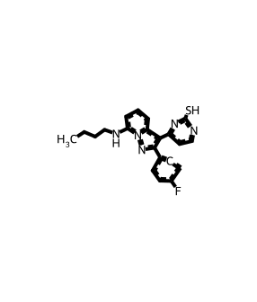 CCCCNc1cccc2c(-c3ccnc(S)n3)c(-c3ccc(F)cc3)nn12